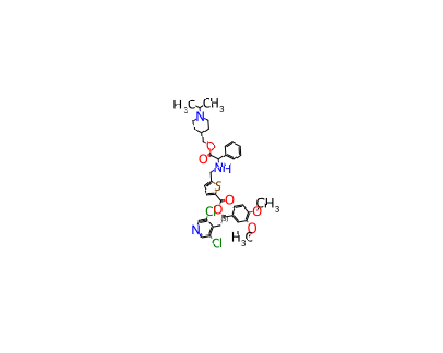 COc1ccc([C@H](Cc2c(Cl)cncc2Cl)OC(=O)c2ccc(CNC(C(=O)OCC3CCN(C(C)C)CC3)c3ccccc3)s2)cc1OC